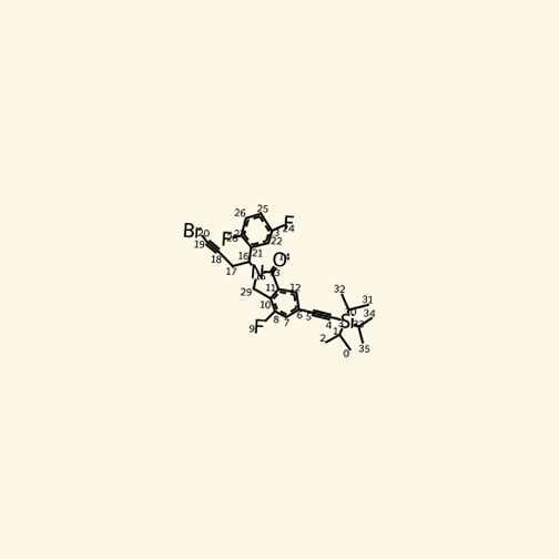 CC(C)[Si](C#Cc1cc(F)c2c(c1)C(=O)N(C(CC#CBr)c1cc(F)ccc1F)C2)(C(C)C)C(C)C